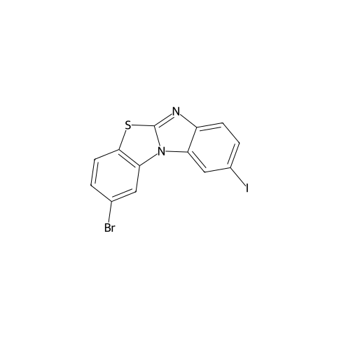 Brc1ccc2sc3nc4ccc(I)cc4n3c2c1